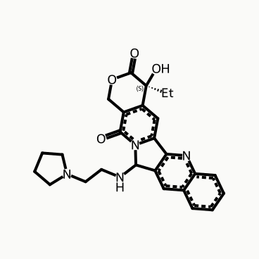 CC[C@@]1(O)C(=O)OCc2c1cc1n(c2=O)C(NCCN2CCCC2)c2cc3ccccc3nc2-1